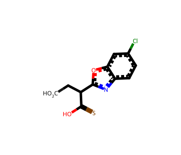 O=C(O)CC(C(O)=S)c1nc2ccc(Cl)cc2o1